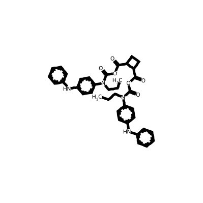 CCCN(C(=O)OC(=O)C1CCC1C(=O)OC(=O)N(CCC)c1ccc(Nc2ccccc2)cc1)c1ccc(Nc2ccccc2)cc1